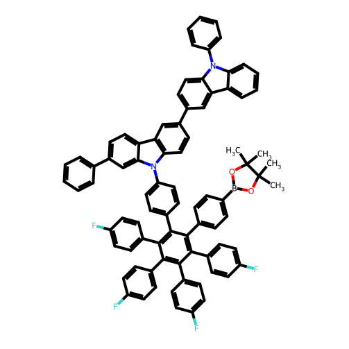 CC1(C)OB(c2ccc(-c3c(-c4ccc(F)cc4)c(-c4ccc(F)cc4)c(-c4ccc(F)cc4)c(-c4ccc(F)cc4)c3-c3ccc(-n4c5ccc(-c6ccc7c(c6)c6ccccc6n7-c6ccccc6)cc5c5ccc(-c6ccccc6)cc54)cc3)cc2)OC1(C)C